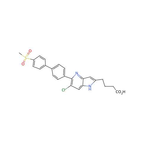 CS(=O)(=O)c1ccc(-c2ccc(-c3nc4cc(CCCC(=O)O)[nH]c4cc3Cl)cc2)cc1